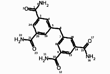 NC(=O)c1cc([CH]c2cc(C(N)=O)cc(C(N)=O)c2)cc(C(N)=O)c1